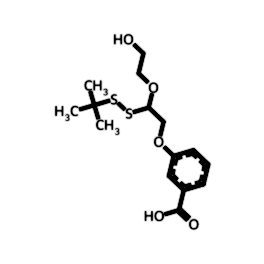 CC(C)(C)SSC(COc1cccc(C(=O)O)c1)OCCO